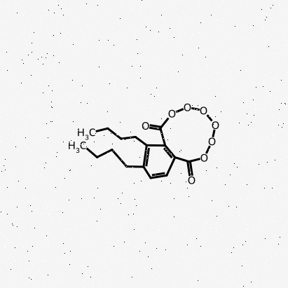 CCCCc1ccc2c(=O)ooooooc(=O)c2c1CCCC